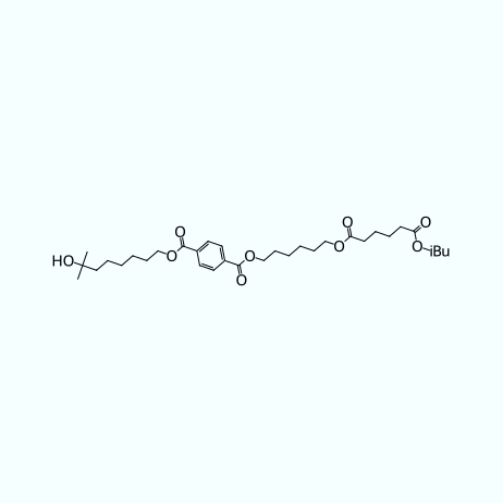 CCC(C)OC(=O)CCCCC(=O)OCCCCCCOC(=O)c1ccc(C(=O)OCCCCCCC(C)(C)O)cc1